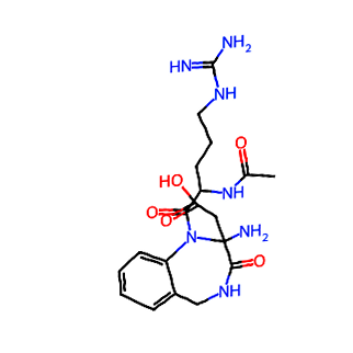 CC(=O)NC(CCCNC(=N)N)C(=O)N1c2ccccc2CNC(=O)C1(N)CC(=O)O